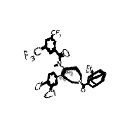 CCC12CC3CC(C1)CC(C(=O)N1CC[C@@H](N(C)C(=O)c4cc(C(F)(F)F)cc(C(F)(F)F)c4)[C@H](c4ccc(Cl)c(Cl)c4)C1)(C3)C2